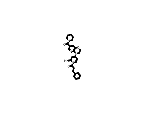 N=c1cc(N2CCOc3cc(C(=O)N4CCCCC4)cnc32)ccn1C(=O)CCc1ccccc1